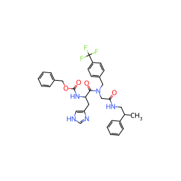 CC(CNC(=O)CN(Cc1ccc(C(F)(F)F)cc1)C(=O)C(Cc1c[nH]cn1)NC(=O)OCc1ccccc1)c1ccccc1